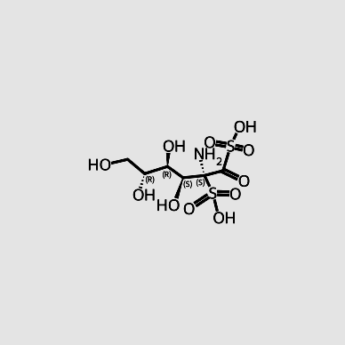 N[C@@](C(=O)S(=O)(=O)O)([C@@H](O)[C@H](O)[C@H](O)CO)S(=O)(=O)O